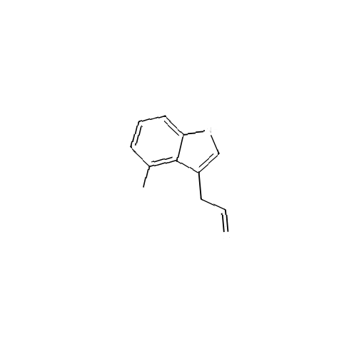 O=[C]Cc1c[nH]c2cccc(Cl)c12